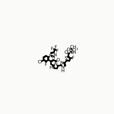 CS(=O)(=O)NC(=O)c1sc(-c2c[nH]c(C3CC[C@@H]4CC(c5c(-n6cc(C(F)(F)F)nn6)ccc(Cl)c5F)=CC(=O)N34)n2)cc1F